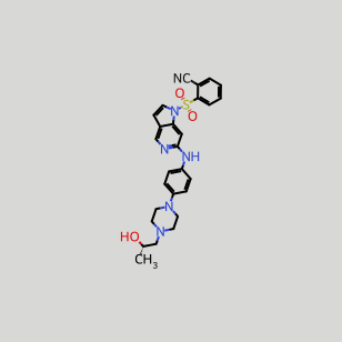 C[C@H](O)CN1CCN(c2ccc(Nc3cc4c(ccn4S(=O)(=O)c4ccccc4C#N)cn3)cc2)CC1